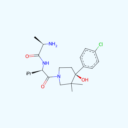 CC(C)[C@@H](NC(=O)[C@@H](C)N)C(=O)N1CC[C@](O)(c2ccc(Cl)cc2)C(C)(C)C1